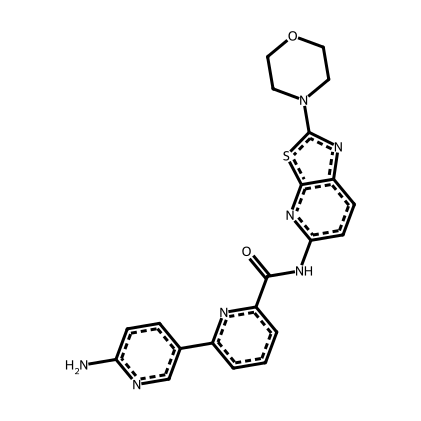 Nc1ccc(-c2cccc(C(=O)Nc3ccc4nc(N5CCOCC5)sc4n3)n2)cn1